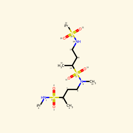 CC(C)NS(=O)(=O)C(C)CCN(C)S(=O)(=O)C(C)CCNS(=O)(=O)C(C)C